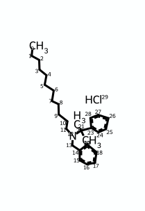 CCCCCCCCCCCCN(Cc1ccccc1)C(C)(C)c1ccccc1.Cl